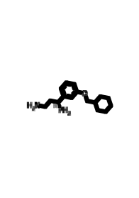 NCC[C@H](P)c1cccc(OCC2CCCCC2)c1